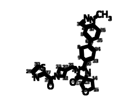 Cn1ncc2cc(-c3ccc(C4=NC5(CCOC5)C(=O)N4CC4CN(C(=O)c5nccs5)C4)cc3)ccc21